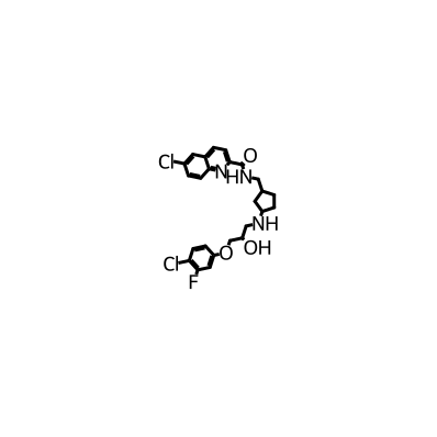 O=C(NCC1CCC(NCC(O)COc2ccc(Cl)c(F)c2)C1)c1ccc2cc(Cl)ccc2n1